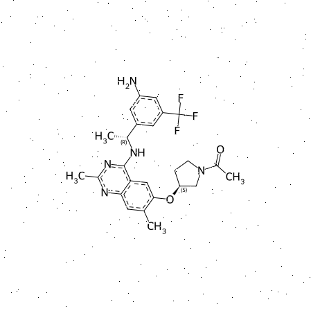 CC(=O)N1CC[C@H](Oc2cc3c(N[C@H](C)c4cc(N)cc(C(F)(F)F)c4)nc(C)nc3cc2C)C1